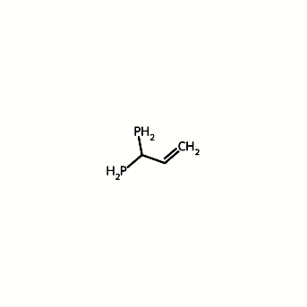 C=CC(P)P